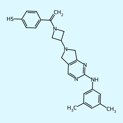 C=C(c1ccc(S)cc1)N1CC(N2Cc3cnc(Nc4cc(C)cc(C)c4)nc3C2)C1